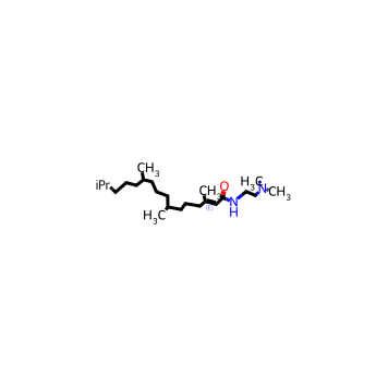 C/C(=C\C(=O)NCCN(C)C)CCCC(C)CCCC(C)CCCC(C)C